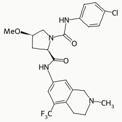 CO[C@@H]1C[C@H](C(=O)Nc2cc3c(c(C(F)(F)F)c2)CCN(C)C3)N(C(=O)Nc2ccc(Cl)cc2)C1